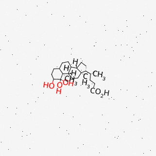 C[C@H](CCC(=O)O)[C@H]1CC[C@H]2[C@@H]3CCC4CCC(O)C(O)(O)[C@]4(C)[C@H]3CC[C@]12C